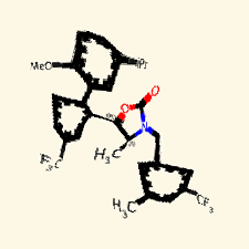 COc1ccc(C(C)C)cc1-c1ccc(C(F)(F)F)cc1[C@H]1OC(=O)N(Cc2cc(C)cc(C(F)(F)F)c2)[C@H]1C